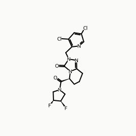 O=C([C@@H]1CCCc2nn(Cc3ncc(Cl)cc3Cl)c(=O)n21)N1C[C@@H](F)[C@@H](F)C1